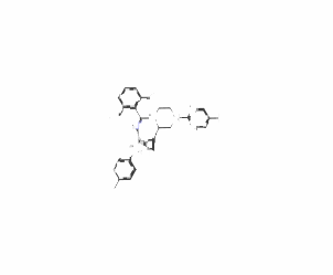 Cc1ccc(S(=O)(=O)N/N=C(/c2c(Cl)cccc2Cl)N2CCN(c3ncc(F)cn3)CC2C2CC2)cc1